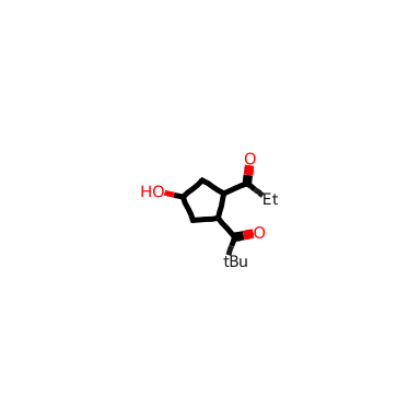 CCC(=O)C1CC(O)CC1C(=O)C(C)(C)C